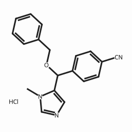 Cl.Cn1cncc1C(OCc1ccccc1)c1ccc(C#N)cc1